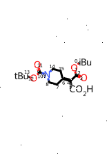 CCC(C)OC(=O)C(C(=O)O)=C1CCN(C(=O)OC(C)(C)C)CC1